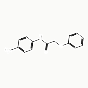 Nc1ccc(NC(=O)COc2ccccc2)cc1